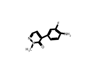 Cn1nccc(-c2ccc(N)c(F)c2)c1=O